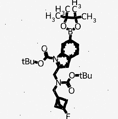 CC(C)(C)OC(=O)N(Cc1cc2ccc(B3OC(C)(C)C(C)(C)O3)cc2n1C(=O)OC(C)(C)C)CC12CC(F)(C1)C2